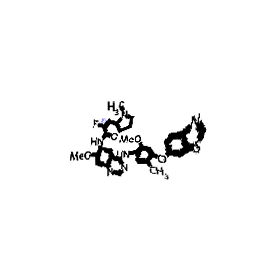 COc1cc2ncnc(Nc3cc(C)c(Oc4ccc5ncsc5c4)cc3OC)c2cc1NC(=O)/C(F)=C\C1CCCN1C